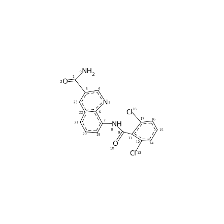 NC(=O)c1cnc2c(NC(=O)c3c(Cl)cccc3Cl)cccc2c1